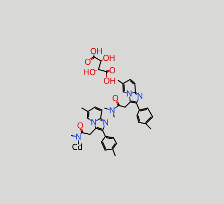 Cc1ccc(-c2nc3ccc(C)cn3c2CC(=O)N(C)C)cc1.Cc1ccc(-c2nc3ccc(C)cn3c2CC(=O)N(C)C)cc1.O=C(O)[C@H](O)[C@@H](O)C(=O)O.[Cd]